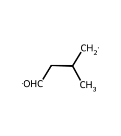 [CH2]C(C)C[C]=O